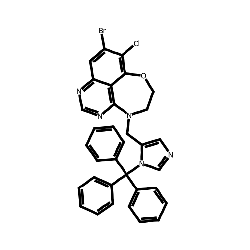 Clc1c(Br)cc2ncnc3c2c1OCCN3Cc1cncn1C(c1ccccc1)(c1ccccc1)c1ccccc1